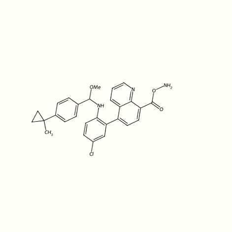 COC(Nc1ccc(Cl)cc1-c1ccc(C(=O)ON)c2ncccc12)c1ccc(C2(C)CC2)cc1